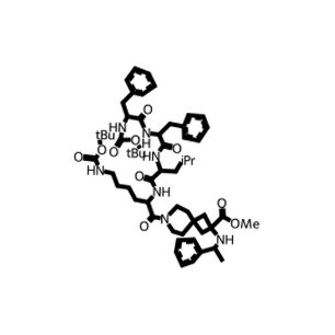 COC(=O)C1(NC(C)c2ccccc2)CC2(CCN(C(=O)C(CCCCNC(=O)OC(C)(C)C)NC(=O)C(CC(C)C)NC(=O)C(Cc3ccccc3)NC(=O)C(Cc3ccccc3)NC(=O)OC(C)(C)C)CC2)C1